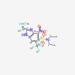 CCN(CC)S(=O)(=O)c1c(C(F)(F)F)cc2[nH]c(C(F)(F)F)nc2c1[N+](=O)[O-]